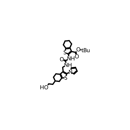 CC(C)(C)OC(=O)c1c(NC(=O)NCc2c(-n3cccc3)sc3c2CCC(CCO)C3)sc2c1CCCC2